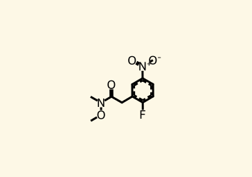 CON(C)C(=O)Cc1cc([N+](=O)[O-])ccc1F